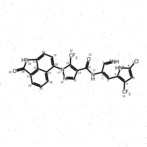 N=C/C(=C\c1[nH]c(Cl)cc1C(F)(F)F)NC(=O)c1cnn(-c2ccc3c4c(cccc24)C(=O)N3)c1C(F)(F)F